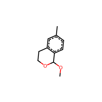 COC1OCCc2cc(C)ccc21